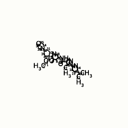 CCOC(=O)[C@]1(c2ccc(NC(=O)c3cnn(-c4ccc(C(C)C)cn4)c3C)cn2)CC[C@H](N2CCOCC2)CC1